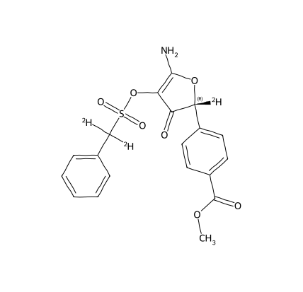 [2H]C([2H])(c1ccccc1)S(=O)(=O)OC1=C(N)O[C@]([2H])(c2ccc(C(=O)OC)cc2)C1=O